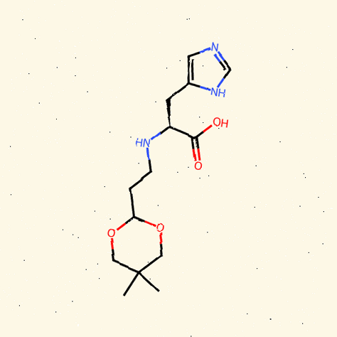 CC1(C)COC(CCN[C@@H](Cc2cnc[nH]2)C(=O)O)OC1